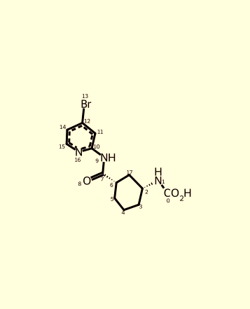 O=C(O)N[C@@H]1CCC[C@H](C(=O)Nc2cc(Br)ccn2)C1